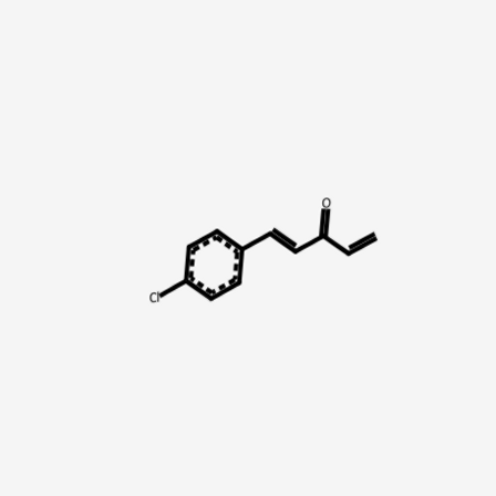 C=CC(=O)/C=C/c1ccc(Cl)cc1